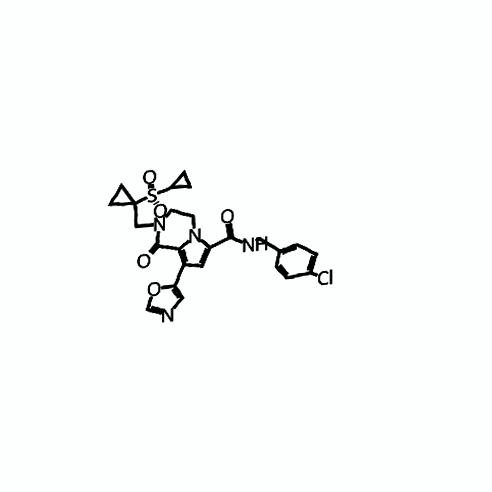 O=C(NCc1ccc(Cl)cc1)c1cc(-c2cnco2)c2n1CCN(CC1(S(=O)(=O)C3CC3)CC1)C2=O